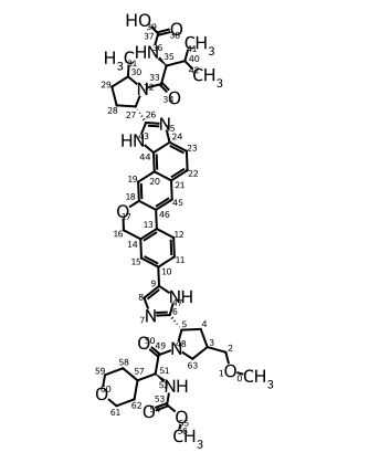 COCC1C[C@@H](c2ncc(-c3ccc4c(c3)COc3cc5c(ccc6nc([C@@H]7CCC(C)N7C(=O)[C@@H](NC(=O)O)C(C)C)[nH]c65)cc3-4)[nH]2)N(C(=O)[C@@H](NC(=O)OC)C2CCOCC2)C1